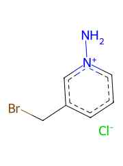 N[n+]1cccc(CBr)c1.[Cl-]